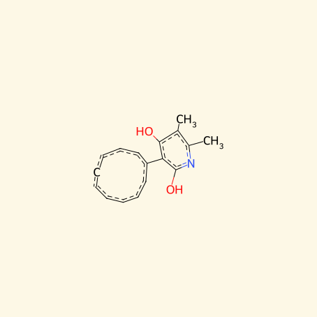 Cc1nc(O)c(-c2ccccccccc2)c(O)c1C